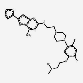 C[S+]([O-])CCOc1cc(N2CCN(CCNc3nc(N)n4nc(-c5ccco5)cc4n3)CC2)c(F)cc1F